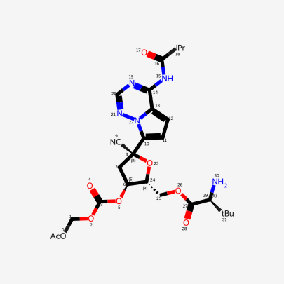 CC(=O)OCOC(=O)O[C@H]1C[C@](C#N)(c2ccc3c(NC(=O)C(C)C)ncnn23)O[C@@H]1COC(=O)[C@@H](N)C(C)(C)C